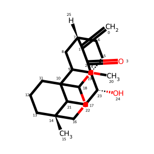 C=C1C(=O)[C@]23CC[C@H]1CC2C12CCC[C@@](C)(COC1OC)C2C[C@H]3O